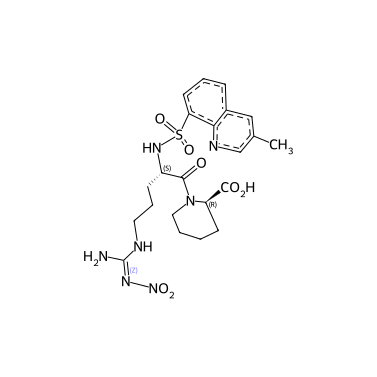 Cc1cnc2c(S(=O)(=O)N[C@@H](CCCN/C(N)=N\[N+](=O)[O-])C(=O)N3CCCC[C@@H]3C(=O)O)cccc2c1